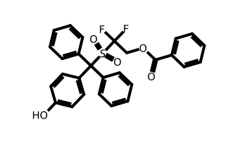 O=C(OCC(F)(F)S(=O)(=O)C(c1ccccc1)(c1ccccc1)c1ccc(O)cc1)c1ccccc1